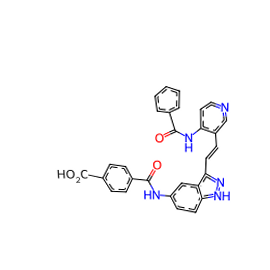 O=C(O)c1ccc(C(=O)Nc2ccc3[nH]nc(/C=C/c4cnccc4NC(=O)c4ccccc4)c3c2)cc1